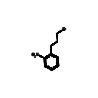 [O]CCCc1ccccc1[N+](=O)[O-]